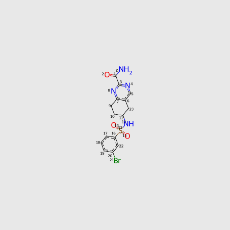 NC(=O)c1ncc2c(n1)CCC(NS(=O)(=O)c1cccc(Br)c1)C2